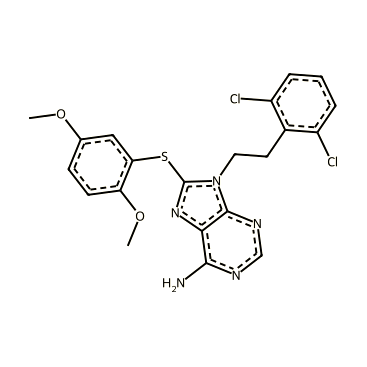 COc1ccc(OC)c(Sc2nc3c(N)ncnc3n2CCc2c(Cl)cccc2Cl)c1